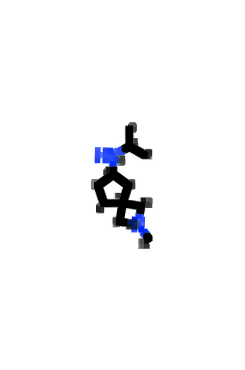 CC(C)NC1CCC2(C1)CN(C)C2